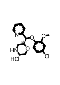 COc1cc(Cl)ccc1OC(c1ccccn1)[C@@H]1CNCCO1.Cl